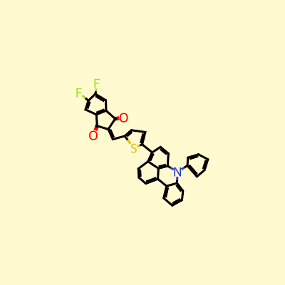 O=C1C(=Cc2ccc(-c3ccc4c5c(cccc35)-c3ccccc3N4c3ccccc3)s2)C(=O)c2cc(F)c(F)cc21